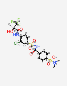 CN(C)S(=O)(=O)c1ccc(C(=O)NS(=O)(=O)c2ccc(NC(=O)[C@@](C)(O)C(F)(F)F)c(Cl)c2)cc1